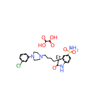 CCC1(CCCCN2CCN(c3cccc(Cl)c3)CC2)C(=O)Nc2ccc(S(N)(=O)=O)cc21.O=C(O)C(=O)O